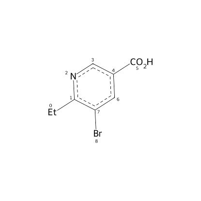 CCc1ncc(C(=O)O)cc1Br